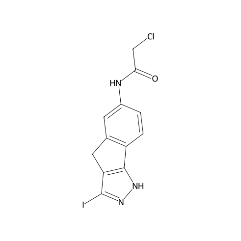 O=C(CCl)Nc1ccc2c(c1)Cc1c(I)n[nH]c1-2